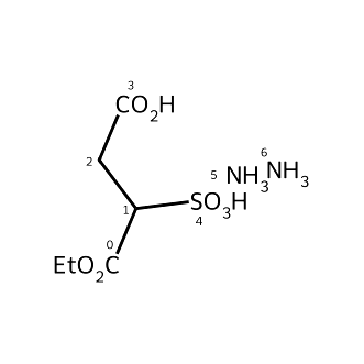 CCOC(=O)C(CC(=O)O)S(=O)(=O)O.N.N